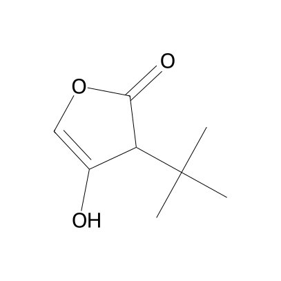 CC(C)(C)C1C(=O)OC=C1O